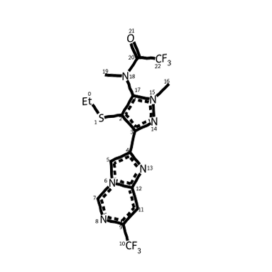 CCSc1c(-c2cn3cnc(C(F)(F)F)cc3n2)nn(C)c1N(C)C(=O)C(F)(F)F